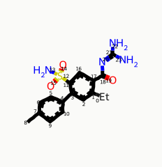 CCc1cc(-c2ccc(C)cc2)c(S(N)(=O)=O)cc1C(=O)N=C(N)N